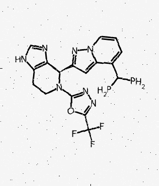 FC(F)(F)c1nnc(N2CCc3[nH]cnc3[C@H]2c2cc3c(C(P)P)cccn3n2)o1